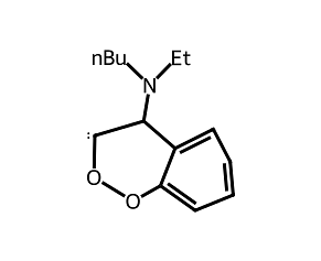 CCCCN(CC)C1[C]OOc2ccccc21